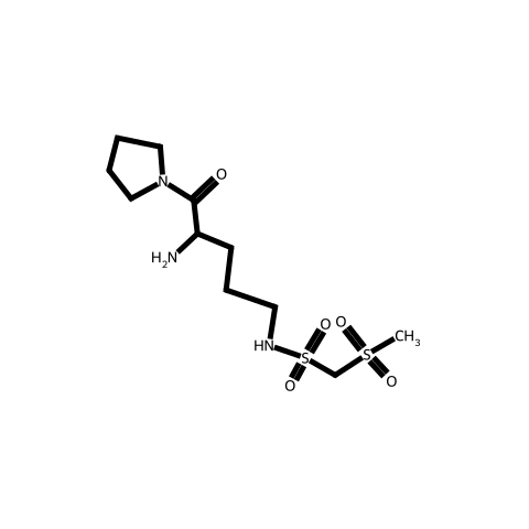 CS(=O)(=O)CS(=O)(=O)NCCCC(N)C(=O)N1CCCC1